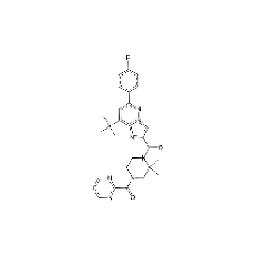 CC(C)(C)c1cc(-c2ccc(F)cc2)nn2cc(C(=O)N3CCN(C(=O)c4ncccn4)CC3(C)C)nc12